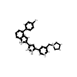 Fc1ccc(-c2cccc3[nH]c(-c4cc(-c5cncc(CN6CCCC6)c5)[nH]n4)cc23)cc1